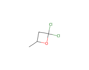 CC1CC(Cl)(Cl)O1